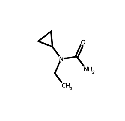 CCN(C(N)=O)C1CC1